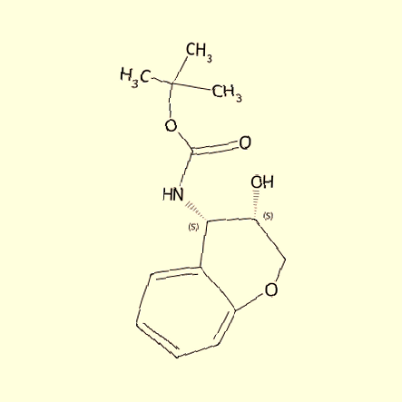 CC(C)(C)OC(=O)N[C@H]1c2ccccc2OC[C@H]1O